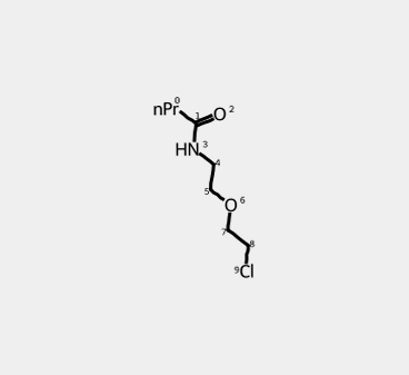 CCCC(=O)NCCOCCCl